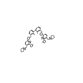 COc1nc(OCc2cccc(-c3cccc(COc4ccc(CN5CCCC5)c(OC)n4)c3C)c2C)ccc1CN1CCCC1